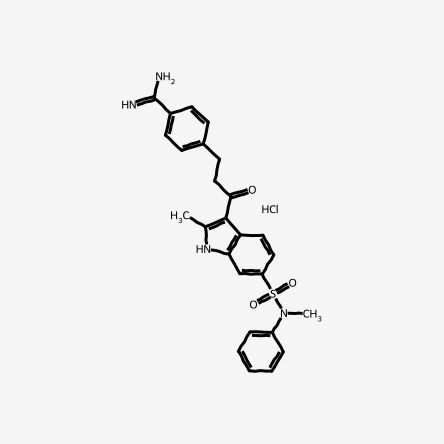 Cc1[nH]c2cc(S(=O)(=O)N(C)c3ccccc3)ccc2c1C(=O)CCc1ccc(C(=N)N)cc1.Cl